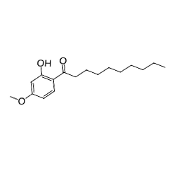 CCCCCCCCCC(=O)c1ccc(OC)cc1O